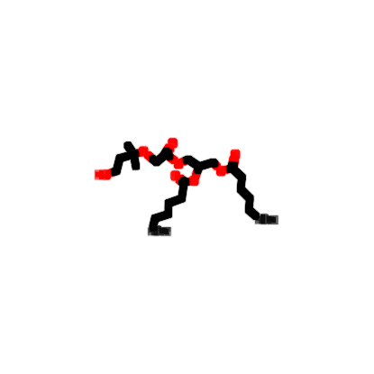 CCCCCCCCCCCCCCC(=O)OCC(COC(=O)COC(C)(C)CCO)OC(=O)CCCCCCCCCCCCCC